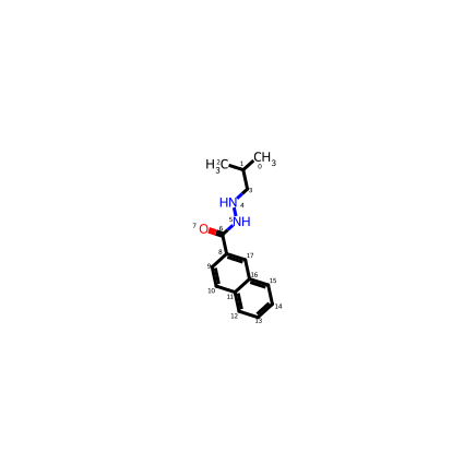 CC(C)CNNC(=O)c1ccc2ccccc2c1